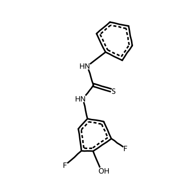 Oc1c(F)cc(NC(=S)Nc2ccccc2)cc1F